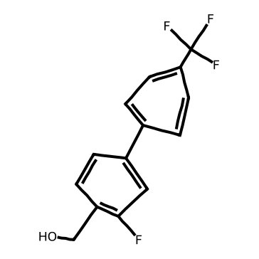 OCc1ccc(-c2ccc(C(F)(F)F)cc2)cc1F